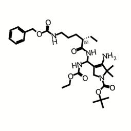 CCOC(=O)NC(NC(=O)[C@@H](CC)CCCNC(=O)OCc1ccccc1)C1=C(N)C(C)(C)N(C(=O)OC(C)(C)C)C1